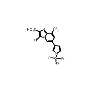 CC(C)[Si](C(C)C)(C(C)C)n1ccc(-c2cc(C(F)(F)F)c3nc(C(=O)O)c(Cl)n3c2)c1